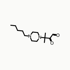 CCCCCN1CCN(C(C)(C)C(=O)C=O)CC1